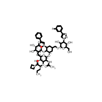 CCC[C@H](OC1C(NC(C)=O)[C@H](O[C@@H]2CC(CO[C@H]3OC(CO)[C@@H](O)C(n4cc(-c5cccc(F)c5)nn4)C3O)CC(n3cc(-c4ccccc4)nn3)C2O[C@@H]2OC(C)[C@@H](O)C(O)C2O)OC(CO)[C@@H]1O)C(=O)N1CCC1